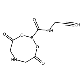 C#CCNC(=O)B1OC(=O)CNCC(=O)O1